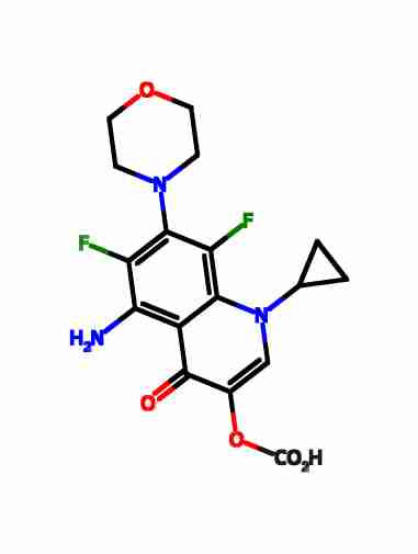 Nc1c(F)c(N2CCOCC2)c(F)c2c1c(=O)c(OC(=O)O)cn2C1CC1